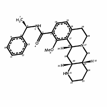 COc1c(C(=O)N[C@H](C)c2ccccc2)ccc2c1[C@H]1C[C@H]3NCCC[C@H]3CN1CC2